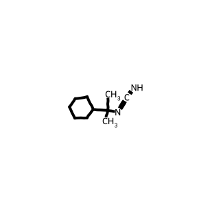 CC(C)(N=C=N)C1CCCCC1